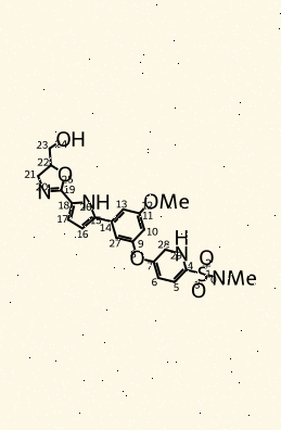 CNS(=O)(=O)C1=CC=C(Oc2cc(OC)cc(-c3ccc(C4=NCC(CO)O4)[nH]3)c2)CN1